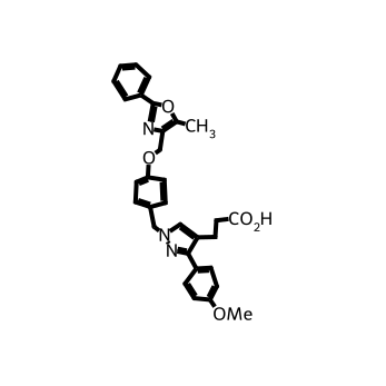 COc1ccc(-c2nn(Cc3ccc(OCc4nc(-c5ccccc5)oc4C)cc3)cc2CCC(=O)O)cc1